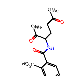 COC(=O)CCC(NC(=O)c1ccccc1C(=O)O)C(=O)OC